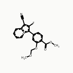 COCOc1cc(-c2c(F)c(C#N)c3ccccn23)ccc1C(=O)OC